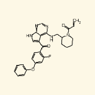 C=CC(=O)N1CCCCC1CNc1ncnc2[nH]cc(C(=O)c3ccc(Oc4ccccc4)cc3F)c12